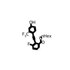 CCCCCCOC(=O)c1cccc(F)c1C#Cc1ccc(O)cc1C(F)(F)F